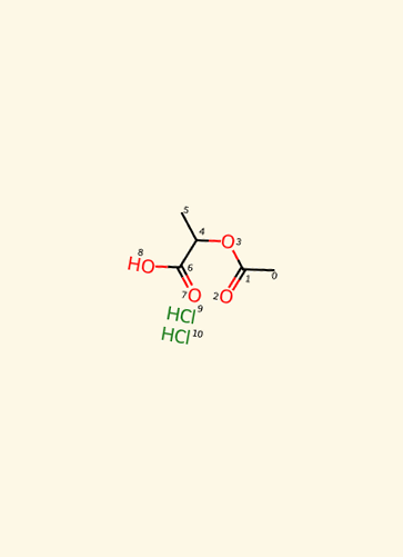 CC(=O)OC(C)C(=O)O.Cl.Cl